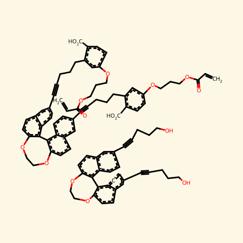 C=CC(=O)OCCCOc1ccc(C(=O)O)c(CCCC#Cc2ccc3c4c(ccc3c2)OCCOc2ccc3cc(C#CCCCc5cc(OCCCOC(=O)C=C)ccc5C(=O)O)ccc3c2-4)c1.OCCCC#Cc1ccc2c3c(ccc2c1)OCCOc1ccc2cc(C#CCCCO)ccc2c1-3